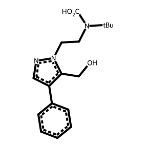 CC(C)(C)N(CCn1ncc(-c2ccccc2)c1CO)C(=O)O